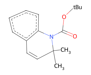 CC(C)(C)OC(=O)N1c2ccccc2C=CC1(C)C